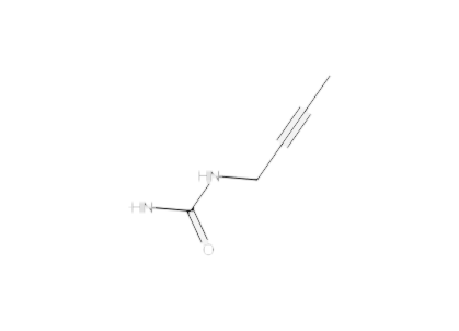 CC#CCNC([NH])=O